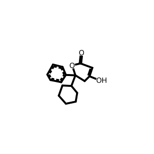 O=C1C=C(O)CC(c2ccccc2)(C2CCCCC2)O1